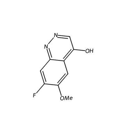 COc1cc2c(O)cnnc2cc1F